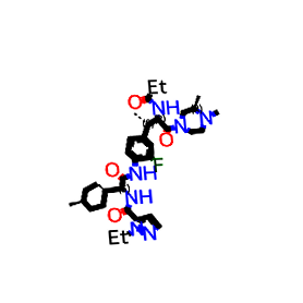 CCC(=O)N[C@@H](C(=O)N1CCN(C)[C@H](C)C1)[C@@H](C)c1ccc(NC(=O)[C@@H](NC(=O)c2ccnn2CC)[C@H]2CC[C@H](C)CC2)c(F)c1